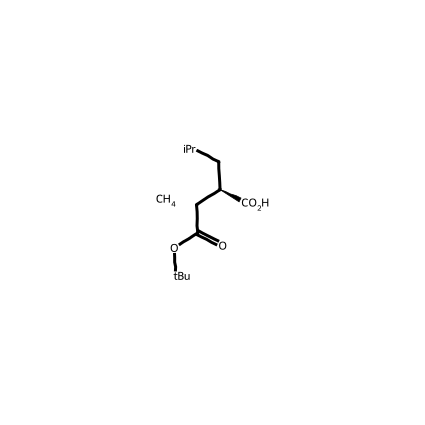 C.CC(C)C[C@H](CC(=O)OC(C)(C)C)C(=O)O